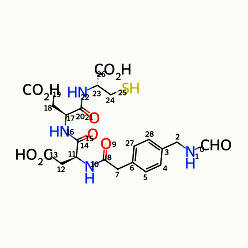 O=CNCc1ccc(CC(=O)N[C@@H](CC(=O)O)C(=O)N[C@@H](CC(=O)O)C(=O)N[C@@H](CS)C(=O)O)cc1